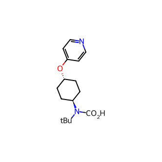 CC(C)(C)N(C(=O)O)[C@H]1CC[C@H](Oc2ccncc2)CC1